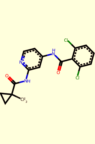 O=C(Nc1ccnc(NC(=O)C2(C(F)(F)F)CC2)c1)c1c(Cl)cccc1Cl